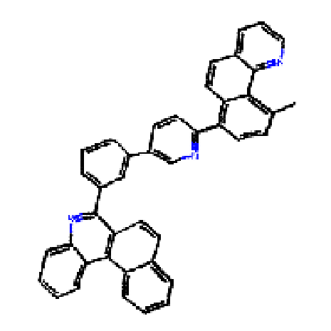 Cc1ccc(-c2ccc(-c3cccc(-c4nc5ccccc5c5c4ccc4ccccc45)c3)cn2)c2ccc3cccnc3c12